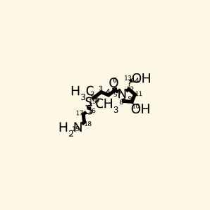 CC(C)(CCC(=O)N1C[C@H](O)C[C@H]1CO)SSCCN